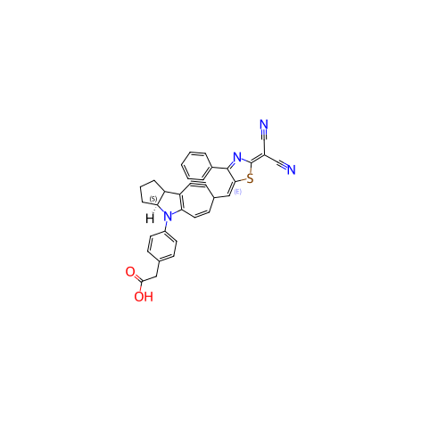 N#CC(C#N)=c1nc(-c2ccccc2)/c(=C\C2C#CC3=C(C=C2)N(c2ccc(CC(=O)O)cc2)[C@H]2CCCC32)s1